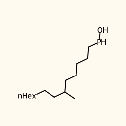 CCCCCCCCC(C)CCCCCPO